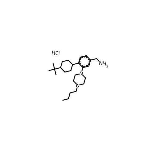 CCCCN1CCN(c2cc(CN)ccc2C2CCC(C(C)(C)C)CC2)CC1.Cl